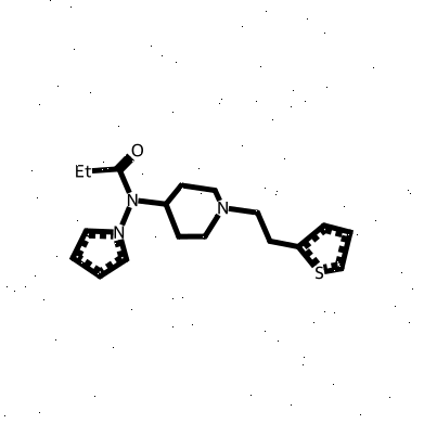 CCC(=O)N(C1CCN(CCc2cccs2)CC1)n1cccc1